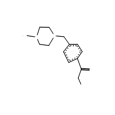 CC(C)N1CCN(Cc2ccc(C(=O)CBr)cc2)CC1